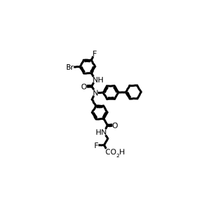 O=C(NCC(F)C(=O)O)c1ccc(CN(C(=O)Nc2cc(F)cc(Br)c2)c2ccc(C3=CCCCC3)cc2)cc1